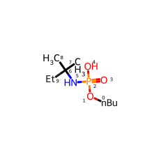 CCCCOP(=O)(O)NC(C)(C)CC